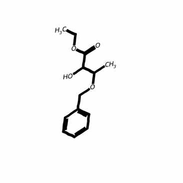 CCOC(=O)C(O)C(C)OCc1ccccc1